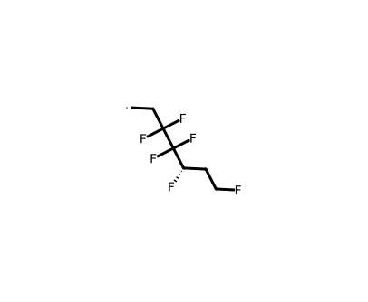 [CH2]CC(F)(F)C(F)(F)[C@@H](F)CCF